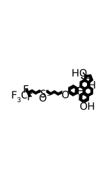 C[C@]12C[C@H](c3ccc(OCCCCC[S+]([O-])CCCC(F)(F)C(F)(F)F)cc3)[C@@H]3c4ccc(O)cc4CC[C@H]3[C@@H]1CC[C@@H]2O